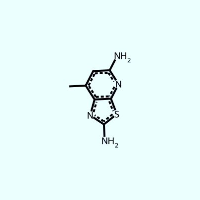 Cc1cc(N)nc2sc(N)nc12